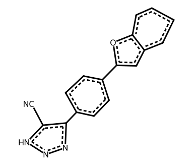 N#Cc1[nH]nnc1-c1ccc(-c2cc3ccccc3o2)cc1